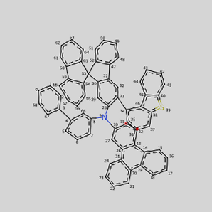 c1ccc(-c2cccc(N(c3ccc4c5ccccc5c5ccccc5c4c3)c3cc4c(cc3-c3cccc5sc6ccccc6c35)-c3ccccc3C43c4ccccc4-c4ccccc43)c2)cc1